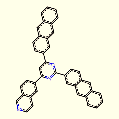 c1ccc2cc3cc(-c4cc(-c5ccc6cnccc6c5)nc(-c5ccc6cc7ccccc7cc6c5)n4)ccc3cc2c1